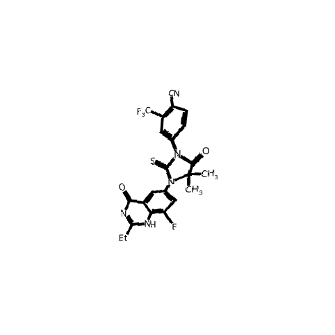 CCc1nc(=O)c2cc(N3C(=S)N(c4ccc(C#N)c(C(F)(F)F)c4)C(=O)C3(C)C)cc(F)c2[nH]1